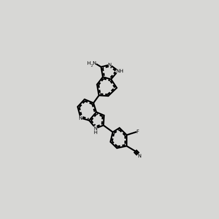 N#Cc1ccc(-c2cc3c(-c4ccc5[nH]nc(N)c5c4)ccnc3[nH]2)cc1F